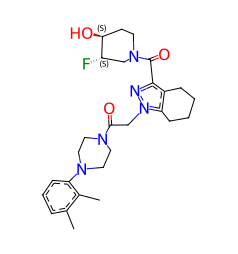 Cc1cccc(N2CCN(C(=O)Cn3nc(C(=O)N4CC[C@H](O)[C@@H](F)C4)c4c3CCCC4)CC2)c1C